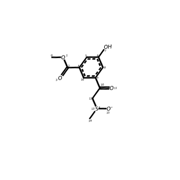 COC(=O)c1cc(O)cc(C(=O)C[S+](C)[O-])c1